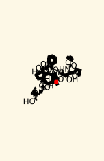 CC(=O)O[C@@]12CO[C@@H]1CC[C@@]1(C)[C@@H]3O[C@H](CN4CC[C@H]4CO)O[C@@H]3C3=C(C)[C@@H](OC(=O)[C@H](O)[C@@H](NC(=O)OC(C)(C)C)C4CCCO4)C[C@@](O)([C@@H](OC(=O)c4ccccc4)[C@@H]12)C3(C)C